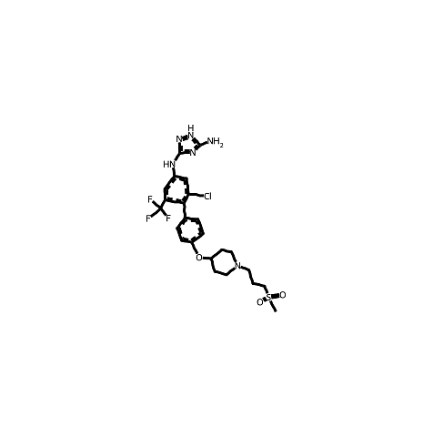 CS(=O)(=O)CCCN1CCC(Oc2ccc(-c3c(Cl)cc(Nc4n[nH]c(N)n4)cc3C(F)(F)F)cc2)CC1